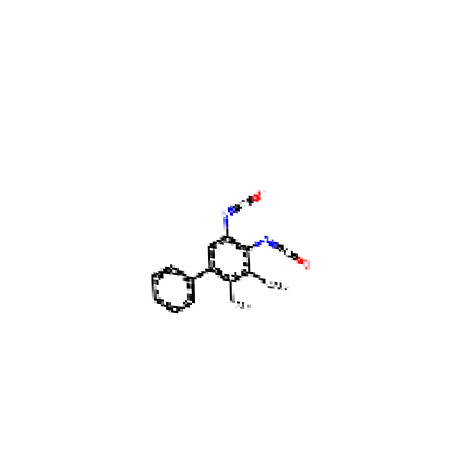 COc1c(-c2ccccc2)cc(N=C=O)c(N=C=O)c1OC